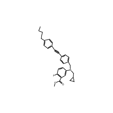 CCCCc1ccc(C#Cc2ccc(CN(CC3CC3)c3ccc(F)c(C(=O)OC)c3)cc2)cc1